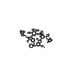 CCSc1cc(C2(Cc3nncn3C)COC2)cc(N2Cc3c(cc(C[N+]4(Cc5ccc(O[C@@H]6O[C@H](C(=O)O)[C@@H](O)[C@H](O)[C@H]6O)c(C(=O)NCCNC(=O)OC(C)(C)C)c5)CCC[C@H](C)C4)cc3C(F)(F)F)C2=O)n1